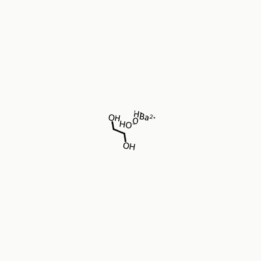 OCCO.[Ba+2].[OH-].[OH-]